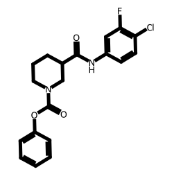 O=C(Nc1ccc(Cl)c(F)c1)C1CCCN(C(=O)Oc2ccccc2)C1